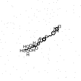 O=C(NCC(O)C(O)C(O)C(O)CO)C1CN(C(=O)Cc2ccc(OCCCC3CCN(c4ncc(Cl)cn4)CC3)cc2F)C1